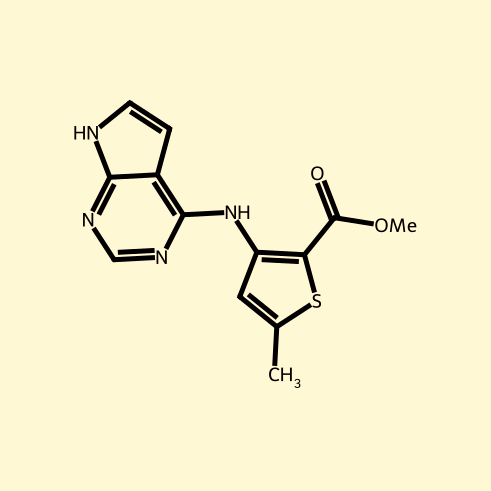 COC(=O)c1sc(C)cc1Nc1ncnc2[nH]ccc12